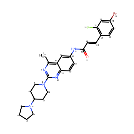 Cc1nc(N2CCC(N3CCCC3)CC2)nc2ccc(NC(=O)C=Cc3ccc(Br)cc3F)cc12